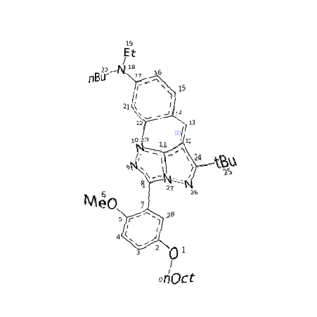 CCCCCCCCOc1ccc(OC)c(-c2nnc3/c(=C\c4ccc(N(CC)CCCC)cc4C)c(C(C)(C)C)nn23)c1